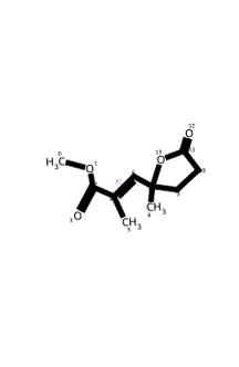 COC(=O)/C(C)=C/C1(C)CCC(=O)O1